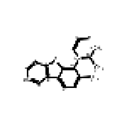 Cc1ccc2c(oc3ccncc32)c1N(/C=C\F)C(C)C